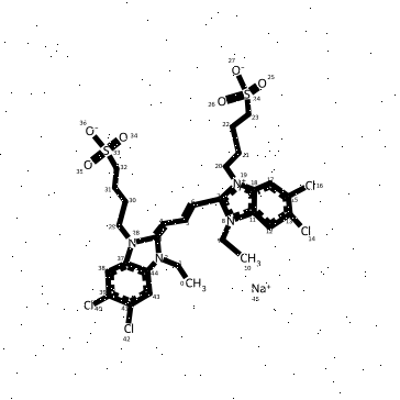 CCN1C(=CC=Cc2n(CC)c3cc(Cl)c(Cl)cc3[n+]2CCCCS(=O)(=O)[O-])N(CCCCS(=O)(=O)[O-])c2cc(Cl)c(Cl)cc21.[Na+]